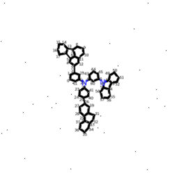 c1cc(-c2cc3c4c(cccc4c2)-c2ccccc2-3)cc(N(c2ccc(-c3ccc4c(ccc5ccccc54)c3)cc2)c2cccc(-n3c4ccccc4c4ccccc43)c2)c1